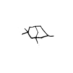 CCC1(C(=O)O)CC2CC(C)CC(O)(C2)C1